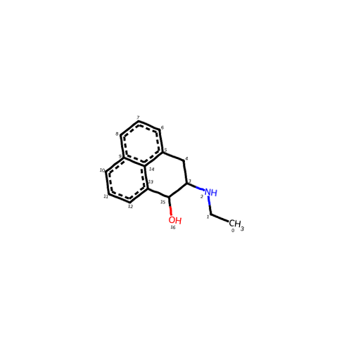 CCNC1Cc2cccc3cccc(c23)C1O